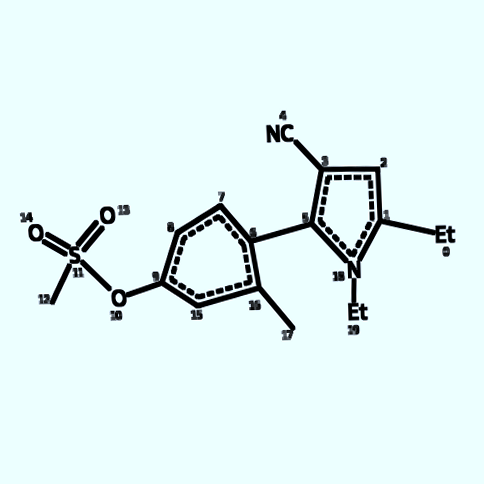 CCc1cc(C#N)c(-c2ccc(OS(C)(=O)=O)cc2C)n1CC